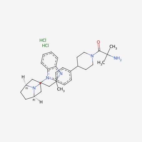 Cc1nc2ccccc2n1C1C[C@H]2CC[C@@H](C1)N2CCc1ccc(C2CCN(C(=O)C(C)(C)N)CC2)cc1.Cl.Cl